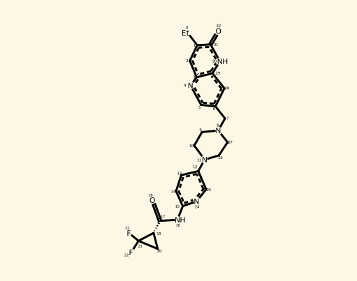 CCc1cc2ncc(CN3CCN(c4ccc(NC(=O)[C@@H]5CC5(F)F)nc4)CC3)cc2[nH]c1=O